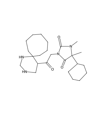 CN1C(=O)N(CC(=O)C2CNCNC23CCCCCCC3)C(=O)C1(C)C1CCCCC1